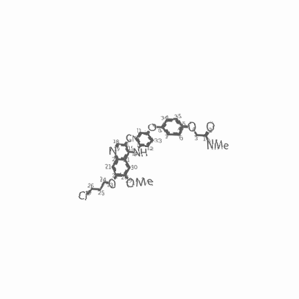 CNC(=O)COc1ccc(Oc2ccc(Nc3c(C#N)cnc4cc(OCCCCl)c(OC)cc34)cc2)cc1